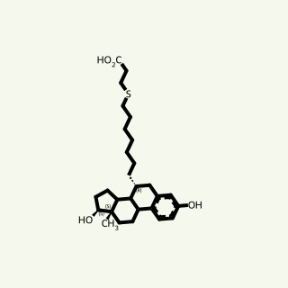 C[C@]12CCC3c4ccc(O)cc4C[C@@H](CCCCCCCSCCC(=O)O)C3C1CC[C@@H]2O